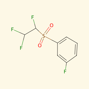 O=S(=O)(c1cccc(F)c1)C(F)C(F)F